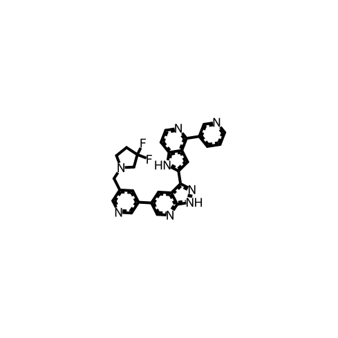 FC1(F)CCN(Cc2cncc(-c3cnc4[nH]nc(-c5cc6c(-c7cccnc7)nccc6[nH]5)c4c3)c2)C1